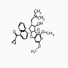 COc1cc2c(c(OC)n1)[C@]1(O)[C@H](O)[C@H](CN(C)C)[C@@H](c3ccccc3)[C@]1(c1ccc(C(=O)C3CC3)cc1)O2